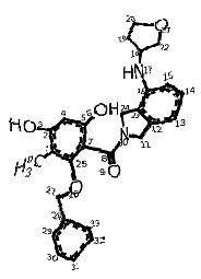 Cc1c(O)cc(O)c(C(=O)N2Cc3cccc(NC4CCOC4)c3C2)c1OCc1ccccc1